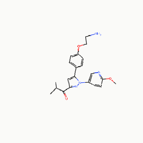 COc1ccc(-n2nc(C(=O)C(C)C)cc2-c2ccc(OCCN)cc2)cn1